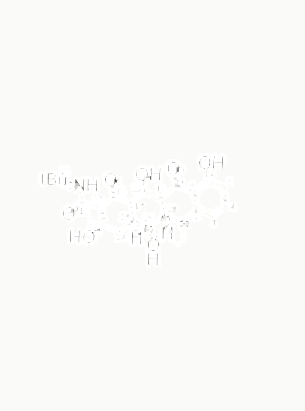 C[C@H]1c2cccc(O)c2C(=O)C2=C(O)C3C(=O)C(C(=O)NC(C)(C)C)=C(O)C[C@@H]3[C@@H](O)[C@@H]21